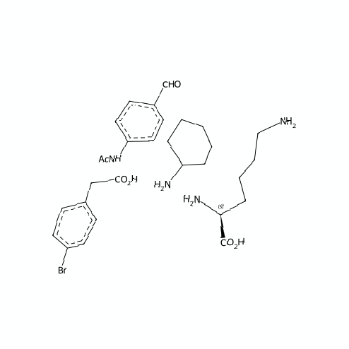 CC(=O)Nc1ccc(C=O)cc1.NC1CCCCC1.NCCCC[C@H](N)C(=O)O.O=C(O)Cc1ccc(Br)cc1